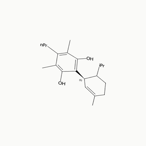 CCCc1c(C)c(O)c([C@@H]2C=C(C)CCC2C(C)C)c(O)c1C